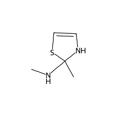 CNC1(C)NC=CS1